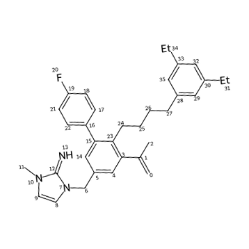 C=C(C)c1cc(Cn2ccn(C)c2=N)cc(-c2ccc(F)cc2)c1CCCCc1cc(CC)cc(CC)c1